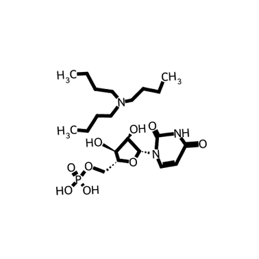 CCCCN(CCCC)CCCC.O=c1ccn([C@@H]2O[C@H](COP(=O)(O)O)[C@@H](O)[C@H]2O)c(=O)[nH]1